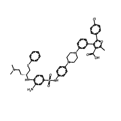 Cc1oc(-c2ccc(Cl)cc2)c(-c2cccc(N3CCN(c4ccc(NS(=O)(=O)c5ccc(N[C@H](CCN(C)C)CSc6ccccc6)c(N)c5)cc4)CC3)c2)c1C(=O)O